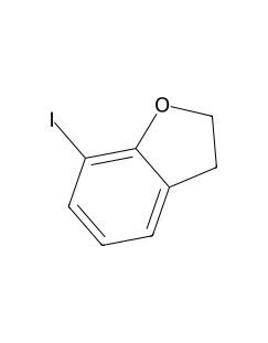 Ic1cccc2c1OCC2